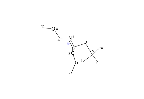 CCC/C(CC(C)(C)C)=N\COC